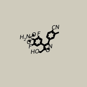 Cc1cc(-c2noc(CO)c2-c2cc(F)c(S(N)(=O)=O)c(F)c2)ccc1C#N